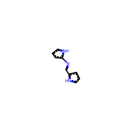 C(=Nc1ccc[nH]1)c1ccc[nH]1